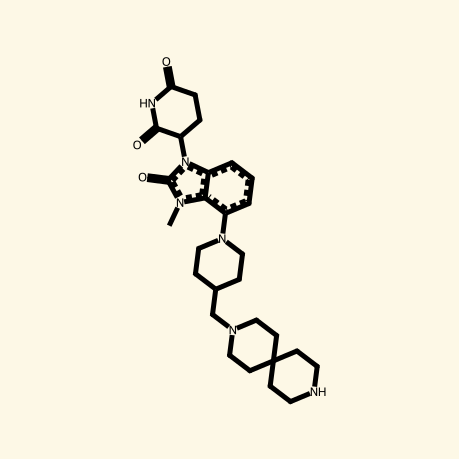 Cn1c(=O)n(C2CCC(=O)NC2=O)c2cccc(N3CCC(CN4CCC5(CCNCC5)CC4)CC3)c21